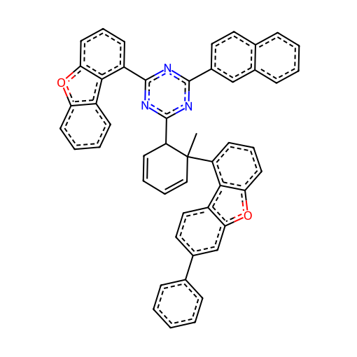 CC1(c2cccc3oc4cc(-c5ccccc5)ccc4c23)C=CC=CC1c1nc(-c2ccc3ccccc3c2)nc(-c2cccc3oc4ccccc4c23)n1